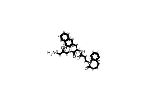 O=C(CCN1C(=O)CCCc2ccccc21)N[C@H](Cc1ccc2ccccc2c1)C(=O)NCC(O)C[AsH2]